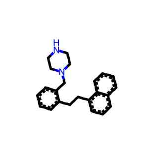 c1ccc(CN2CCNCC2)c(CCc2cccc3ccccc23)c1